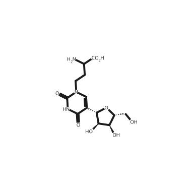 NC(CCn1cc([C@@H]2O[C@H](CO)[C@@H](O)[C@H]2O)c(=O)[nH]c1=O)C(=O)O